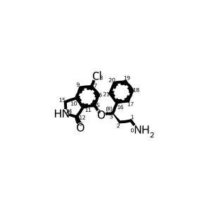 NCC[C@@H](Oc1cc(Cl)cc2c1C(=O)NC2)c1ccccc1